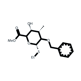 CCS[C@@H]1OC(C(=O)OC)[C@H](O)[C@H](C)C1OCc1ccccc1